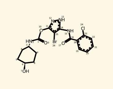 O=C(N[C@H]1CC[C@H](O)CC1)Oc1n[nH]c(NC(=O)c2ccccc2Cl)c1Br